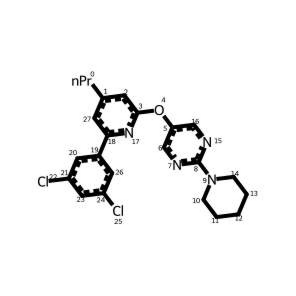 CCCc1cc(Oc2cnc(N3CCCCC3)nc2)nc(-c2cc(Cl)cc(Cl)c2)c1